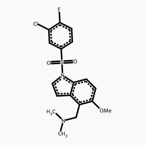 COc1ccc2c(ccn2S(=O)(=O)c2ccc(F)c(Cl)c2)c1CN(C)C